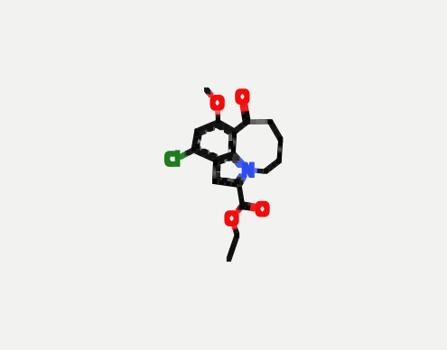 CCOC(=O)c1cc2c(Cl)cc(OC)c3c2n1CCCCC3=O